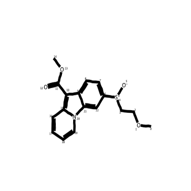 COCC[S+]([O-])c1ccc2c(C(=O)OC)c3ccccn3c2c1